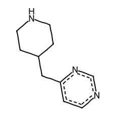 c1cc(CC2CCNCC2)ncn1